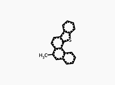 Cc1cc2ccccc2c2c1ccc1c3ccccc3sc12